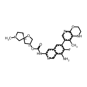 Cc1c(-c2cc3cc(NC(=O)O[C@@H]4CO[C@]5(CCN(C)C5)C4)ncc3c(N)c2F)cnc2c1NCCO2